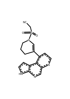 N#CCS(=O)(=O)N1C=C(c2ccnc3cnc4[nH]ccc4c23)CCC1